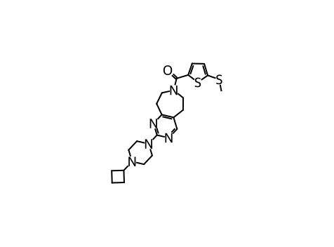 CSc1ccc(C(=O)N2CCc3cnc(N4CCN(C5CCC5)CC4)nc3CC2)s1